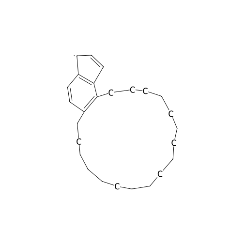 [CH]1C=Cc2c1ccc1c2CCCCCCCCCCCCCCCCC1